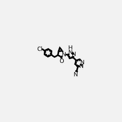 N#Cc1cc(-c2cc(N3C(=O)C(Cc4ccc(Cl)cc4)C4CC43)[nH]n2)cnn1